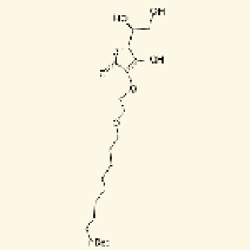 CCCCCCCCCCCCCCCCCCOCCOC1=C(O)[C@@H]([C@@H](O)CO)OC1=O